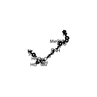 COc1cc(C(=O)N[C@@H]2CCc3ccc(-c4cn5c(n4)CCC5)cc32)cc(OCCCNC(=O)COCCOCCOCC(=O)NC(C(=O)N2C[C@H](O)C[C@H]2C(=O)NCc2ccc(-c3scnc3C)cc2)C(C)(C)C)c1C